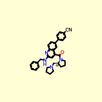 N#Cc1ccc(-c2ccc3nc(NCc4ccccc4)cc(C(=O)N4CCC[C@H]4CN4CCCC4)c3c2)cc1